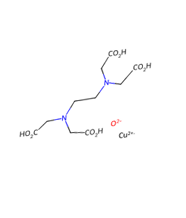 O=C(O)CN(CCN(CC(=O)O)CC(=O)O)CC(=O)O.[Cu+2].[O-2]